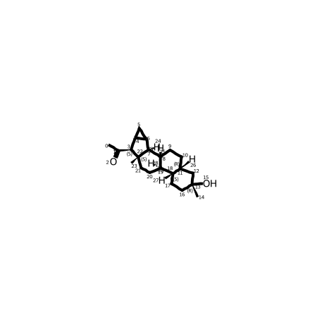 CC(=O)[C@H]1C2CC2[C@H]2[C@@H]3CC[C@@H]4C[C@](C)(O)CC[C@@H]4[C@H]3CC[C@]12C